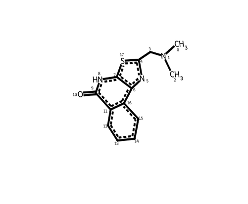 CN(C)Cc1nc2c([nH]c(=O)c3ccccc32)s1